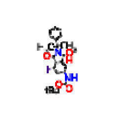 CC(C)(C)OC(=O)Nc1cc(I)c2c(c1)C(O)N(C(C)(C)c1ccccc1)C2=O